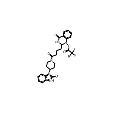 O=C1NC(CCCC(=O)N2CCC(n3c(=O)[nH]c4ccccc43)CC2)N(OC(=O)C(F)(F)F)c2ccccc21